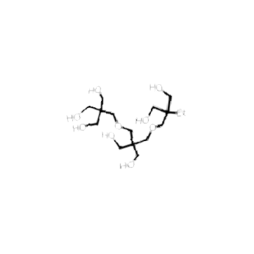 CCC(CO)(CO)COCC(CO)(CO)COCC(CO)(CO)CO